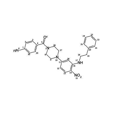 CCCc1ccc(C(=O)N2CCN(c3ccc([N+](=O)[O-])c(NCCc4ccccc4)c3)CC2)cc1